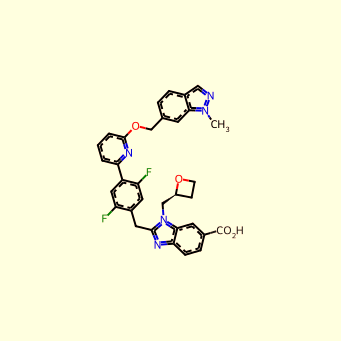 Cn1ncc2ccc(COc3cccc(-c4cc(F)c(Cc5nc6ccc(C(=O)O)cc6n5C[C@@H]5CCO5)cc4F)n3)cc21